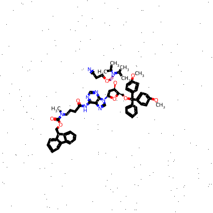 COc1ccc(C(OC[C@H]2O[C@@H](N3C=NC4C(NC(=O)CCCN(C)C(=O)OCC5c6ccccc6-c6ccccc65)=NC=NC43)C[C@H]2OP(OCCC#N)N(C(C)C)C(C)C)(c2ccccc2)c2ccc(OC)cc2)cc1